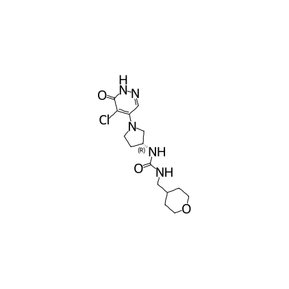 O=C(NCC1CCOCC1)N[C@@H]1CCN(c2cn[nH]c(=O)c2Cl)C1